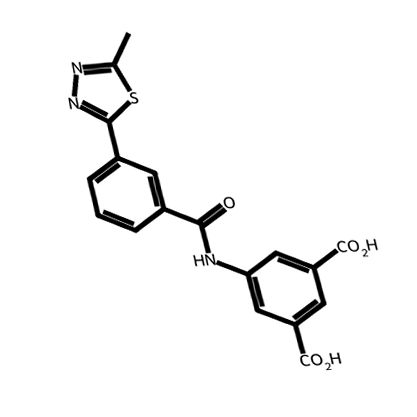 Cc1nnc(-c2cccc(C(=O)Nc3cc(C(=O)O)cc(C(=O)O)c3)c2)s1